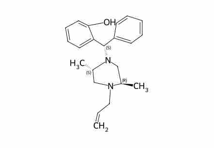 C=CCN1C[C@H](C)N([C@@H](c2ccccc2)c2ccccc2O)C[C@H]1C